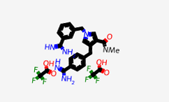 CNC(=O)c1cn(Cc2cccc(C(=N)N)c2)cc1Cc1ccc(C(=N)N)cc1.O=C(O)C(F)(F)F.O=C(O)C(F)(F)F